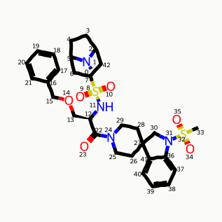 CN1C2CCC1CC(S(=O)(=O)N[C@H](COCc1ccccc1)C(=O)N1CCC3(CC1)CN(S(C)(=O)=O)c1ccccc13)C2